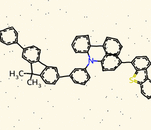 CC1(C)c2ccc(-c3cccc(N(c4ccc(-c5cccc6c5sc5ccccc56)cc4)c4ccccc4-c4ccccc4)c3)cc2-c2ccc(-c3ccccc3)cc21